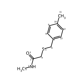 CNC(=O)CSCc1ccc(C)cc1